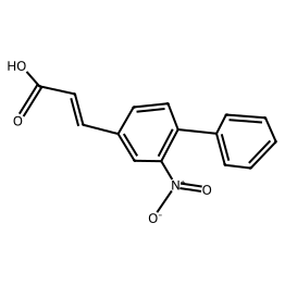 O=C(O)C=Cc1ccc(-c2ccccc2)c([N+](=O)[O-])c1